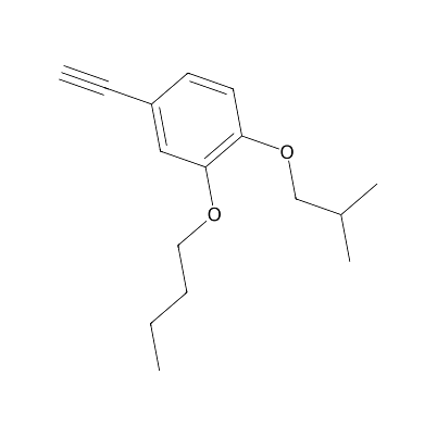 C#Cc1ccc(OCC(C)C)c(OCCCC)c1